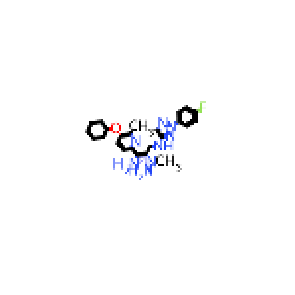 Cc1nc(/C(N)=C(\CNc2cnn(-c3ccc(F)cc3)n2)N(C)N)ccc1OC1CCCCC1